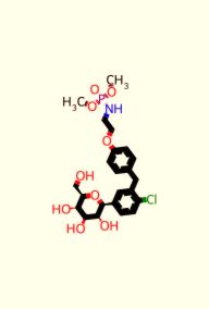 COP(=O)(NCCOc1ccc(Cc2cc([C@@H]3O[C@H](CO)[C@@H](O)[C@H](O)[C@H]3O)ccc2Cl)cc1)OC